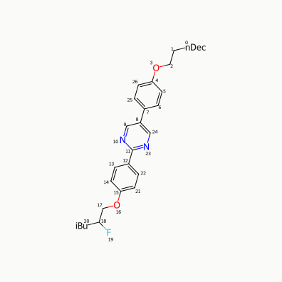 CCCCCCCCCCCCOc1ccc(-c2cnc(-c3ccc(OCC(F)C(C)CC)cc3)nc2)cc1